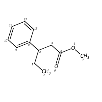 CCC(CC(=O)OC)c1ccccc1